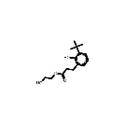 CC(C)(C)c1cccc(CCC(=O)OCCO)c1O